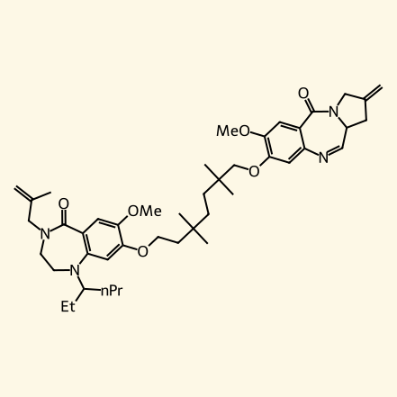 C=C(C)CN1CCN(C(CC)CCC)c2cc(OCCC(C)(C)CCC(C)(C)COc3cc4c(cc3OC)C(=O)N3CC(=C)CC3C=N4)c(OC)cc2C1=O